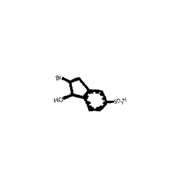 O=S(=O)(O)c1ccc2c(c1)CC(Br)C2O